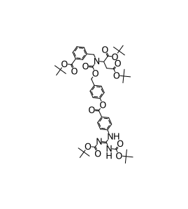 CC(C)(C)OC(=O)CC(C(=O)OC(C)(C)C)N(Cc1cccc(C(=O)OC(C)(C)C)c1)C(=O)OCc1ccc(OC(=O)c2ccc(NC(=NC(=O)OC(C)(C)C)NC(=O)OC(C)(C)C)cc2)cc1